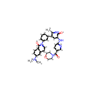 Cc1[nH]c(=O)c(Nc2ccc(C(=O)N3CCOCC3)cn2)cc1-c1cccc(-n2ccc3cc(N(C)C)ccc3c2=O)c1